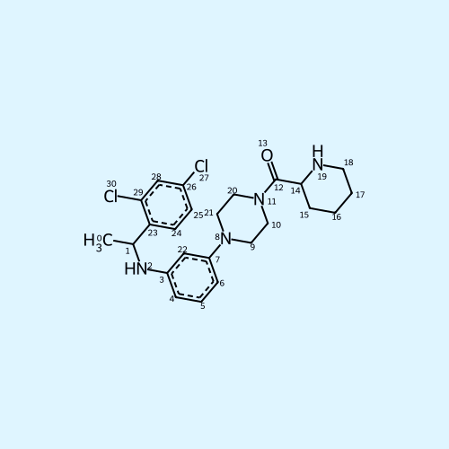 CC(Nc1cccc(N2CCN(C(=O)C3CCCCN3)CC2)c1)c1ccc(Cl)cc1Cl